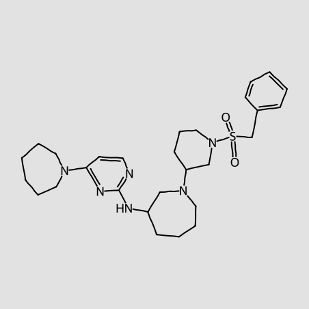 O=S(=O)(Cc1ccccc1)N1CCCC(N2CCCCC(Nc3nccc(N4CCCCCC4)n3)C2)C1